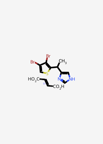 CC(c1c[nH]cn1)c1scc(Br)c1Br.O=C(O)/C=C/C(=O)O